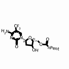 CCCCCC(=O)OC[C@H]1O[C@@H](n2cc(C(F)(F)F)c(N)nc2=O)CC1O